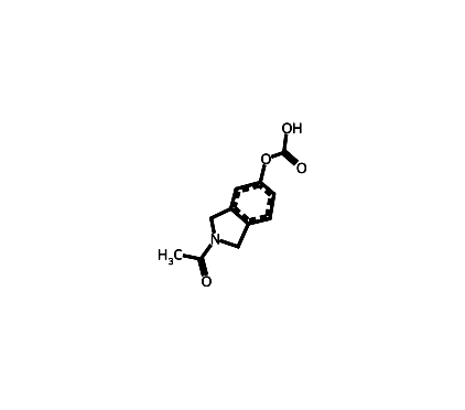 CC(=O)N1Cc2ccc(OC(=O)O)cc2C1